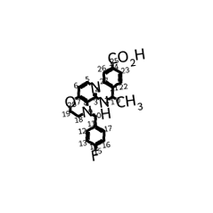 CC(Nc1nccc2c1N(Cc1ccc(F)cc1)CCO2)c1ccc(C(=O)O)cc1